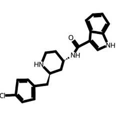 O=C(N[C@H]1CCN[C@H](Cc2ccc(Cl)cc2)C1)c1c[nH]c2ccccc12